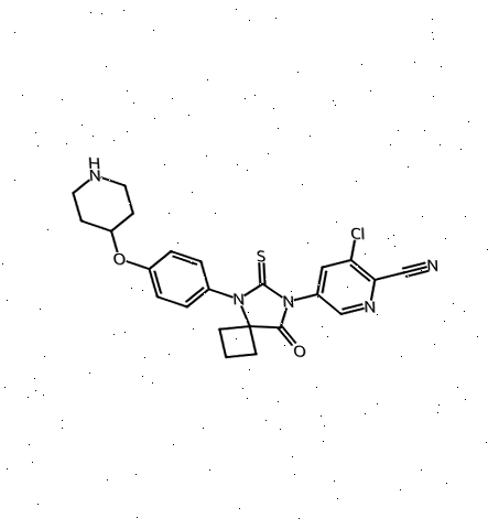 N#Cc1ncc(N2C(=O)C3(CCC3)N(c3ccc(OC4CCNCC4)cc3)C2=S)cc1Cl